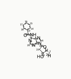 [2H]C[C@H]1O[C@@H](n2cnc3c(NC(=O)c4ccccc4)ncnc32)CC1O